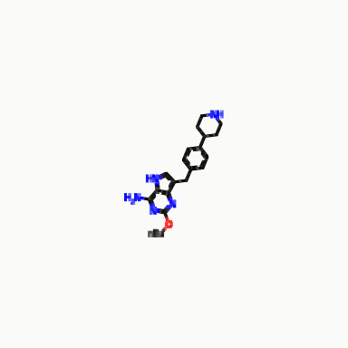 CCCCOc1nc(N)c2[nH]cc(Cc3ccc(C4CCNCC4)cc3)c2n1